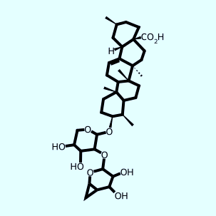 C[C@H]1CC[C@]2(C(=O)O)CC[C@]3(C)C(=CCC4[C@@]5(C)CC[C@H](OC6OCC(O)C(O)C6OC6OC7CC7C(O)C6O)[C@H](C)C5CC[C@]43C)[C@@H]2C1